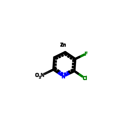 O=[N+]([O-])c1ccc(F)c(Cl)n1.[Zn]